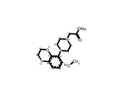 CC.COC(=O)CN1CCN(c2cccc3c2OCCO3)CC1